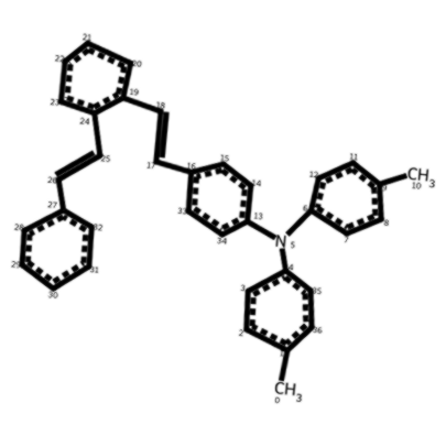 Cc1ccc(N(c2ccc(C)cc2)c2ccc(C=Cc3ccccc3C=Cc3ccccc3)cc2)cc1